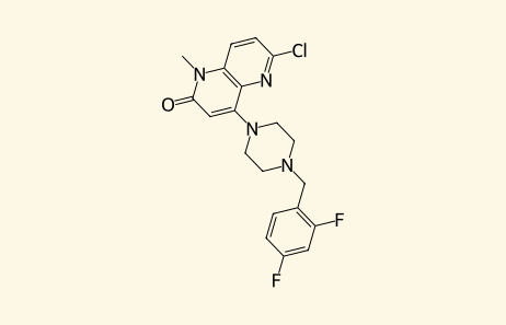 Cn1c(=O)cc(N2CCN(Cc3ccc(F)cc3F)CC2)c2nc(Cl)ccc21